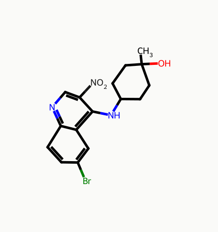 CC1(O)CCC(Nc2c([N+](=O)[O-])cnc3ccc(Br)cc23)CC1